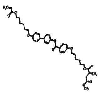 C=CC(=O)OCCCCCCOc1ccc(-c2ccc(OC(=O)c3ccc(OCCCCCCOC(=O)C(=C)CC(=O)OC)cc3)cc2)cc1